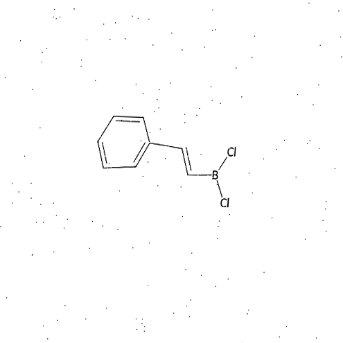 ClB(Cl)/C=C/c1ccccc1